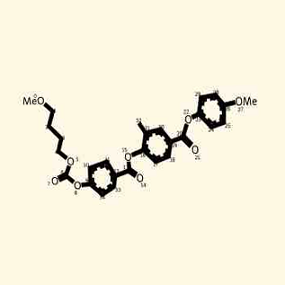 COCCCCOC(=O)Oc1ccc(C(=O)Oc2ccc(C(=O)Oc3ccc(OC)cc3)cc2C)cc1